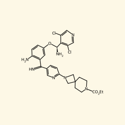 CCOC(=O)N1CCC2(CC1)CN(c1ccc(C(=N)c3cc(O[C@H](N)c4c(Cl)cncc4Cl)ccc3N)cn1)C2